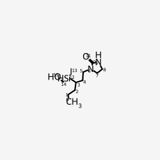 CCCC(CCN1CCNC1=O)[SiH](I)CO